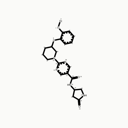 CCOc1ccccc1OC1CCCN(c2ncc(C(=O)NC3CNC(=O)C3)cn2)C1